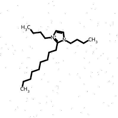 CCCCCCCCCc1n(CCCC)cc[n+]1CCCC